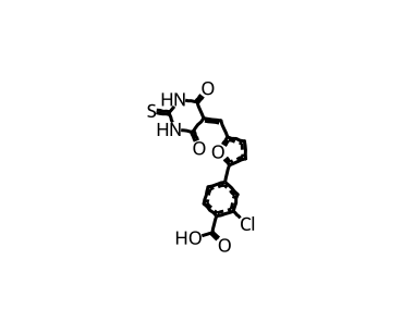 O=C1NC(=S)NC(=O)C1=Cc1ccc(-c2ccc(C(=O)O)c(Cl)c2)o1